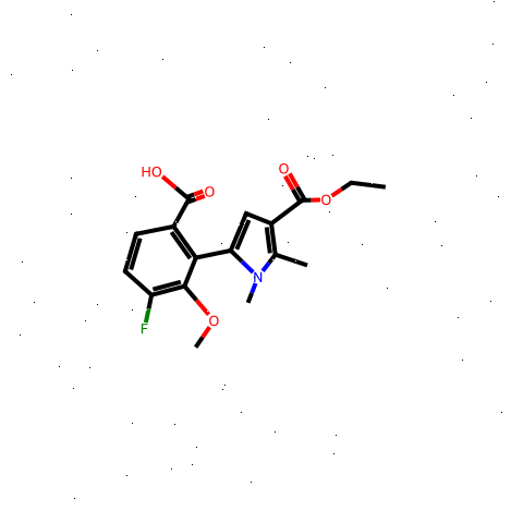 CCOC(=O)c1cc(-c2c(C(=O)O)ccc(F)c2OC)n(C)c1C